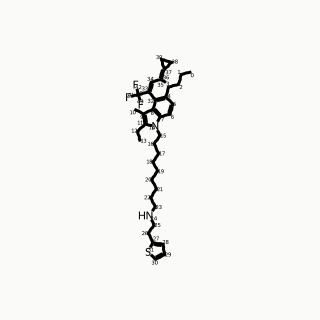 CCCCc1ccc2c(c(C)c(CC)n2CCCCCCCCCNCCc2cccs2)c1/C(=C\C(C)=C1CC1)C(F)(F)F